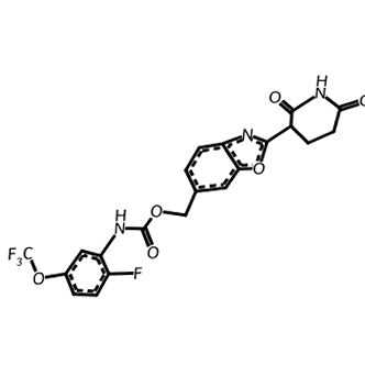 O=C1CCC(c2nc3ccc(COC(=O)Nc4cc(OC(F)(F)F)ccc4F)cc3o2)C(=O)N1